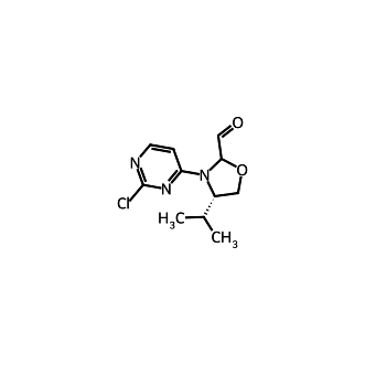 CC(C)[C@H]1COC(C=O)N1c1ccnc(Cl)n1